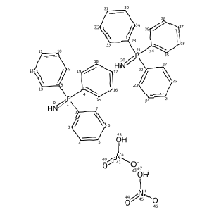 N=P(c1ccccc1)(c1ccccc1)c1ccccc1.N=P(c1ccccc1)(c1ccccc1)c1ccccc1.O=[N+]([O-])O.O=[N+]([O-])O